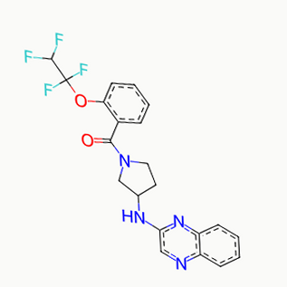 O=C(c1ccccc1OC(F)(F)C(F)F)N1CCC(Nc2cnc3ccccc3n2)C1